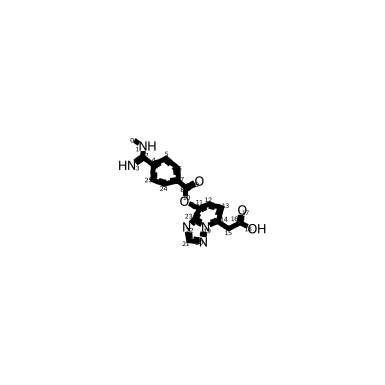 CNC(=N)c1ccc(C(=O)Oc2ccc(CC(=O)O)n3ncnc23)cc1